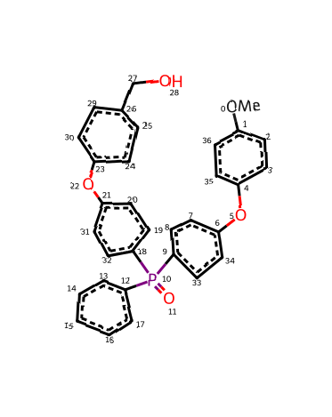 COc1ccc(Oc2ccc(P(=O)(c3ccccc3)c3ccc(Oc4ccc(CO)cc4)cc3)cc2)cc1